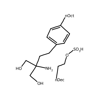 CCCCCCCCCCCCOS(=O)(=O)O.CCCCCCCCc1ccc(CCC(N)(CO)CO)cc1